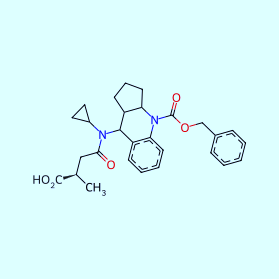 C[C@H](CC(=O)N(C1CC1)C1c2ccccc2N(C(=O)OCc2ccccc2)C2CCCC21)C(=O)O